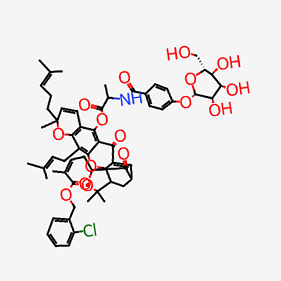 CC(C)=CCCC1(C)C=Cc2c(c(CC=C(C)C)c3c(c2OC(=O)C(C)NC(=O)c2ccc(O[C@@H]4O[C@H](CO)[C@@H](O)[C@@H](O)[C@H]4O)cc2)C(=O)C2=CC4CC5C(C)(C)OC(C/C=C(/C)C(=O)OCc6ccccc6Cl)(C4=O)C25O3)O1